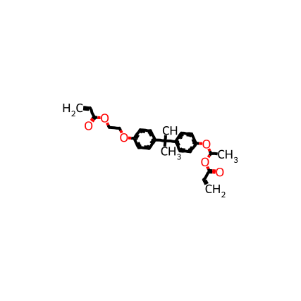 C=CC(=O)OCCOc1ccc(C(C)(C)c2ccc(OC(C)OC(=O)C=C)cc2)cc1